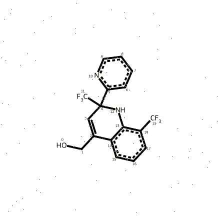 OCC1=CC(c2ccccn2)(C(F)(F)F)Nc2c1cccc2C(F)(F)F